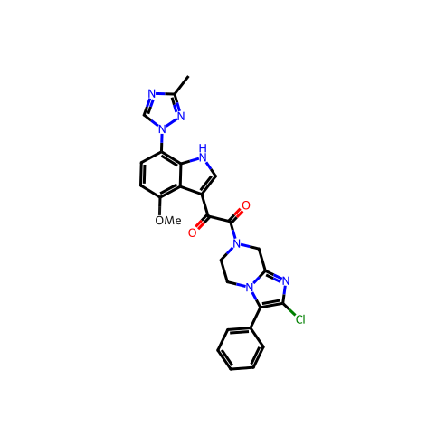 COc1ccc(-n2cnc(C)n2)c2[nH]cc(C(=O)C(=O)N3CCn4c(nc(Cl)c4-c4ccccc4)C3)c12